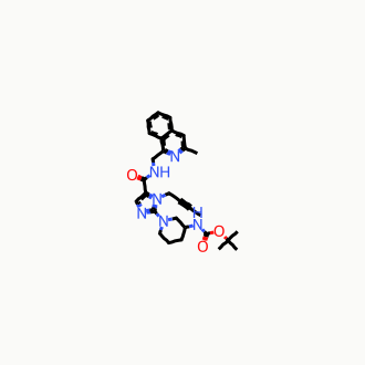 CC#CCn1c(C(=O)NCc2nc(C)cc3ccccc23)cnc1N1CCCC(NC(=O)OC(C)(C)C)C1